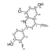 C#Cc1cc(-c2ccc(O)c(F)c2)nc2c(Cl)cc(O)cc12